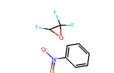 FC1OC1(F)F.O=[N+]([O-])c1ccccc1